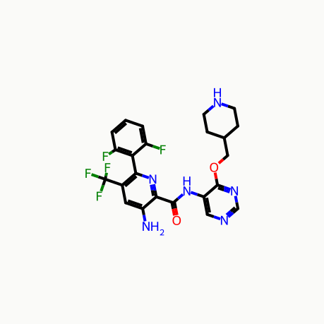 Nc1cc(C(F)(F)F)c(-c2c(F)cccc2F)nc1C(=O)Nc1cncnc1OCC1CCNCC1